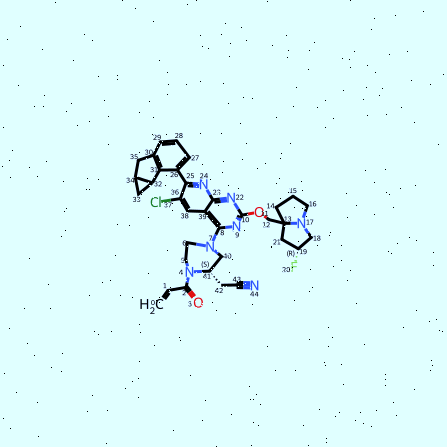 C=CC(=O)N1CCN(c2nc(OCC34CCCN3C[C@H](F)C4)nc3nc(-c4cccc5c4C4CC4C5)c(Cl)cc23)C[C@@H]1CC#N